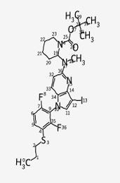 CCCSc1ccc(F)c(-n2cc(I)c3nc(N(C)C4CCCCN4C(=O)OC(C)(C)C)ccc32)c1F